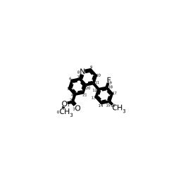 COC(=O)c1ccc2nccc(-c3ccc(C)cc3F)c2c1